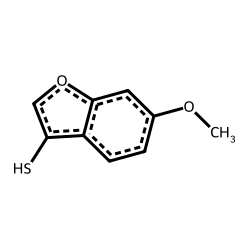 COc1ccc2c(S)coc2c1